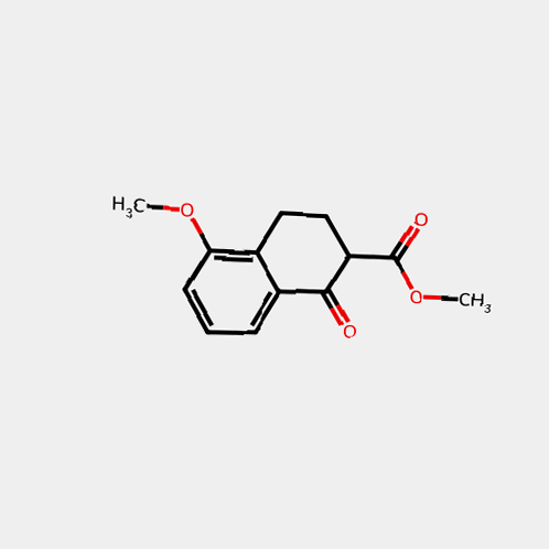 COC(=O)C1CCc2c(OC)cccc2C1=O